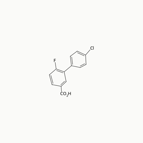 O=C(O)c1ccc(F)c(-c2ccc(Cl)cc2)c1